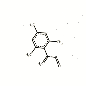 C=C(P=O)c1c(C)cc(C)cc1C